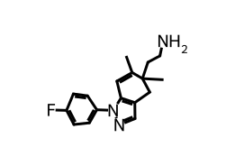 CC1=Cc2c(cnn2-c2ccc(F)cc2)CC1(C)CCN